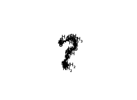 CC(C)C(NC(=O)CCCCCN1C(=O)C=CC1=O)C(=O)N[C@@H](C)C(=O)Nc1ccc(C(=O)NCCC[C@H](NC(=O)c2ccc(CCc3cnc4nc(N)nc(N)c4n3)cc2)C(=O)O)s1